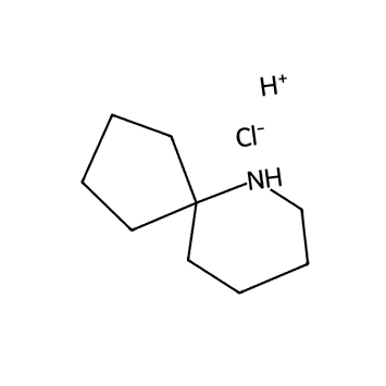 C1CCC2(CCCC2)NC1.[Cl-].[H+]